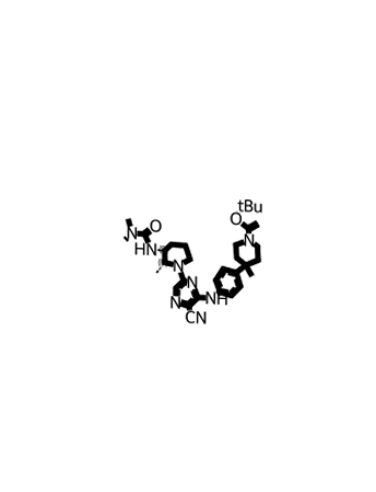 C=C(OC(C)(C)C)N1CCC(C)(c2ccc(Nc3nc(N4CCC[C@@H](NC(=O)N(C)C)[C@H]4C)cnc3C#N)cc2)CC1